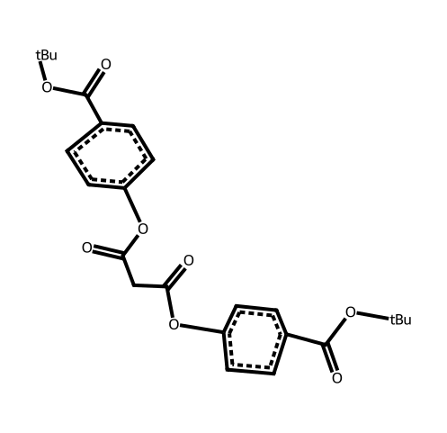 CC(C)(C)OC(=O)c1ccc(OC(=O)CC(=O)Oc2ccc(C(=O)OC(C)(C)C)cc2)cc1